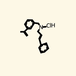 C=C(C)c1cccc(CN(C)CC=Cc2ccccc2)c1.Cl